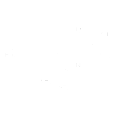 C=c1[nH]c(C(C)(C)C)c/c1=C/C(C)=C\C